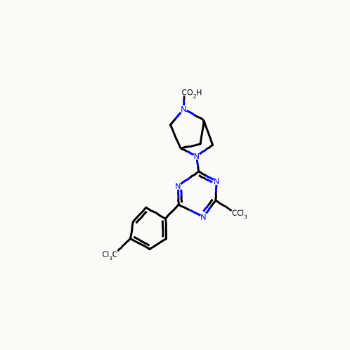 O=C(O)N1CC2CC1CN2c1nc(-c2ccc(C(Cl)(Cl)Cl)cc2)nc(C(Cl)(Cl)Cl)n1